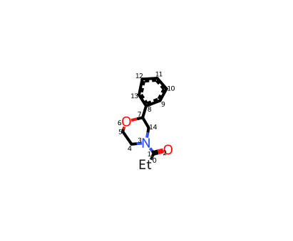 CCC(=O)N1CCOC(c2ccccc2)C1